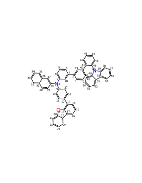 c1cc(-c2cccc(N(c3ccc(-c4cccc5c4oc4ccccc45)cc3)c3ccc4ccccc4c3)c2)cc(-c2ccccc2-n2c3ccccc3c3ccccc32)c1